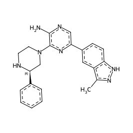 Cc1n[nH]c2ccc(-c3cnc(N)c(N4CCN[C@H](c5ccccc5)C4)n3)cc12